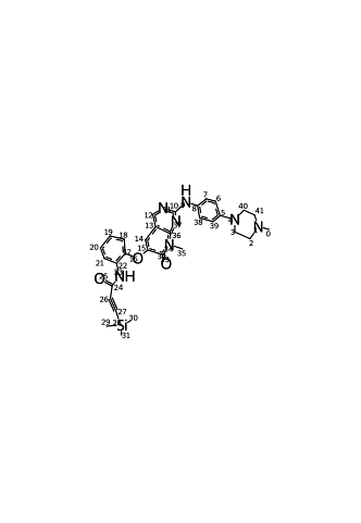 CN1CCN(c2ccc(Nc3ncc4cc(Oc5ccccc5NC(=O)C#C[Si](C)(C)C)c(=O)n(C)c4n3)cc2)CC1